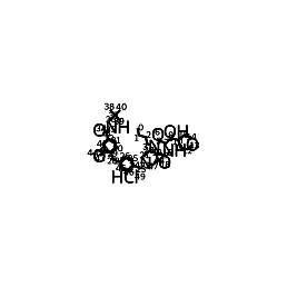 CCCCN1C(=O)[C@@H](C(O)C2CCOCC2)NC(=O)C12CCN(Cc1ccc(Cc3ccc(C(=O)NCC(C)(C)C)cc3OC)cc1)CC2.Cl